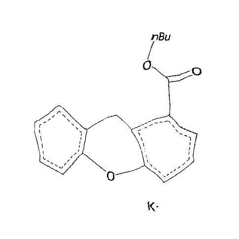 CCCCOC(=O)c1cccc2c1Cc1ccccc1O2.[K]